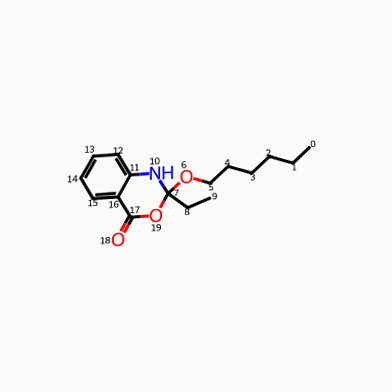 CCCCCCOC1(CC)Nc2ccccc2C(=O)O1